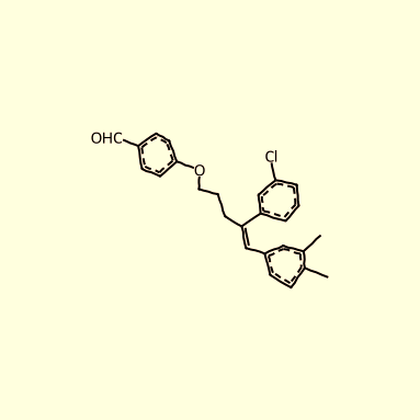 Cc1ccc(/C=C(/CCCOc2ccc(C=O)cc2)c2cccc(Cl)c2)cc1C